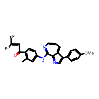 CCC/C(=C/C(=O)c1ccc(Nc2ncccc3c(-c4ccc(OC)cc4)cnc2-3)cc1C)CC